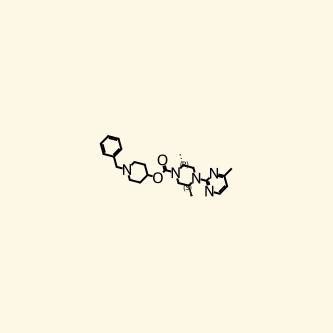 Cc1ccnc(N2C[C@@H](C)N(C(=O)OC3CCN(Cc4ccccc4)CC3)C[C@@H]2C)n1